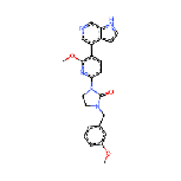 COc1cccc(CN2CCN(c3ccc(-c4cncc5[nH]ccc45)c(OC)n3)C2=O)c1